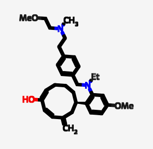 C=C1/C=C\C(O)=C/CCC[C@@H](c2ccc(OC)cc2N(CC)Cc2ccc(CCN(C)CCOC)cc2)C1